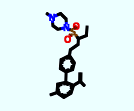 C=C(C)c1ccc(C)cc1-c1ccc(CCC(CC)S(=O)(=O)N2CCN(C)CC2)cc1